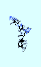 N#Cc1ccc(-c2cc3n(c2)Cc2cc(N4CCC5NCCC54)ncc2-n2cnnc2-3)cc1